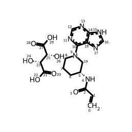 C=CC(=O)N[C@@H]1CCCN(c2ncnc3[nH]cnc23)C1.O=C(O)[C@H](O)[C@@H](O)C(=O)O